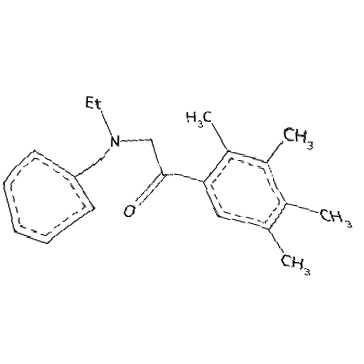 CCN(CC(=O)c1cc(C)c(C)c(C)c1C)c1ccccc1